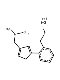 CN(C)CC1=CCC(c2ccccc2C[O][Ti])=C1.Cl.Cl